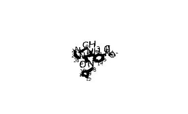 CC(Nc1cc(=O)n(CC2CCC2)c2ccc([N+](=O)[O-])cc12)c1ncccn1